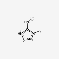 CCNc1[nH]ccc1C